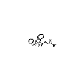 CC(CCNC1CC1)N1c2ccccc2N(c2ccccc2)S1(O)O